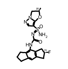 C[C@@H]1Cn2ncc([S@](N)(=O)=NC(=O)Nc3c4c(cc5c3C[C@@H](F)C5)CCC4)c2O1